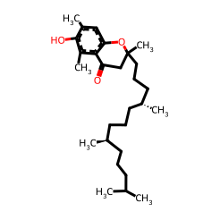 Cc1cc2c(c(C)c1O)C(=O)CC(C)(CCC[C@H](C)CCC[C@H](C)CCCC(C)C)O2